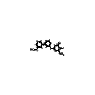 Cn1c(N)nc(Cc2cccc(-c3cccc(CO)c3)c2)cc1=O